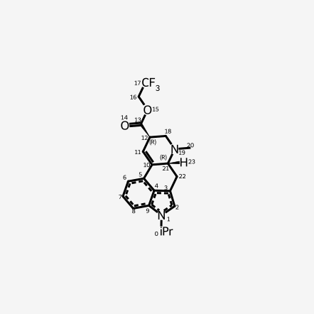 CC(C)n1cc2c3c(cccc31)C1=C[C@@H](C(=O)OCC(F)(F)F)CN(C)[C@@H]1C2